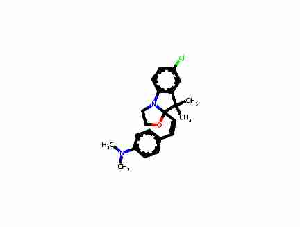 CN(C)c1ccc(/C=C\C23OCCN2c2ccc(Cl)cc2C3(C)C)cc1